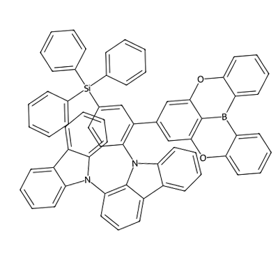 c1ccc([Si](c2ccccc2)(c2ccccc2)c2ccc(-n3c4ccccc4c4cccc(-n5c6ccccc6c6ccccc65)c43)c(-c3cc4c5c(c3)Oc3ccccc3B5c3ccccc3O4)c2)cc1